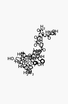 C[C@H](NC(=O)[C@H](CC(=O)O)NC(=O)[C@H](C[C@@H](C)O)NC(=O)[C@H](Cc1ccc(O)cc1)NC(=O)[C@H](C[C@@H](C)O)NC(=O)[C@H](Cc1ccccc1)NC(=O)CNC(=O)[C@@H]1CCCN(C(=O)[C@H](C)NC(=O)[C@H](CCC(N)=O)NC(=O)CNC(=O)[C@@H](N)C[C@@H](C)O)C1)C(=O)N[C@@H](CC(N)=O)C(=O)N[C@@H](CCCCN)C(=O)O